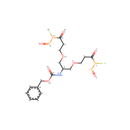 O=PP(F)C(=O)CCOCC(COCCC(=O)P(F)P=O)NC(=O)OCc1ccccc1